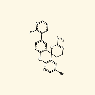 NC1=NCCC2(O1)c1cc(-c3cccnc3F)ccc1Oc1ncc(Br)cc12